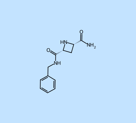 NC(=O)[C@@H]1C[C@H](C(=O)NCc2ccccc2)N1